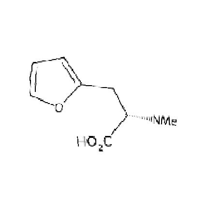 CN[C@@H](Cc1ccco1)C(=O)O